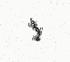 CCc1cc(F)cc(C)c1C(=O)NC(Cc1ccc(-c2ncc(CNc3ncc[nH]3)o2)cc1)C(=O)O